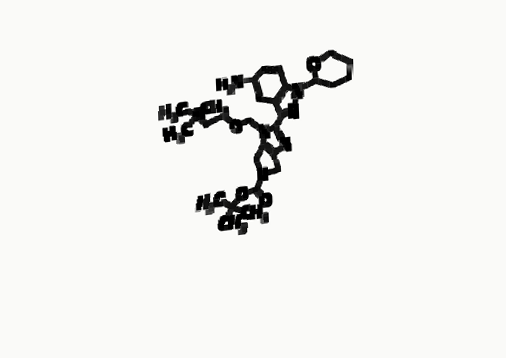 CC(C)(C)OC(=O)N1Cc2nc(-c3nn(C4CCCCO4)c4ccc(N)cc34)n(COCC[Si](C)(C)C)c2C1